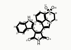 O=C1NC(=O)C(c2cn3c4c(cccc24)S(=O)(=O)CC3)=C1c1c[nH]c2ccccc12